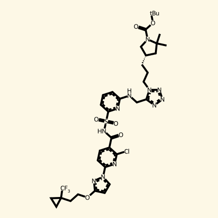 CC(C)(C)OC(=O)N1C[C@@H](CCCn2nnnc2CNc2cccc(S(=O)(=O)NC(=O)c3ccc(-n4ccc(OCCC5(C(F)(F)F)CC5)n4)nc3Cl)n2)CC1(C)C